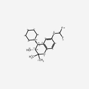 CC1(C)Oc2ccc(OC(F)F)cc2[C@H](N2CCCCC2)[C@H]1O